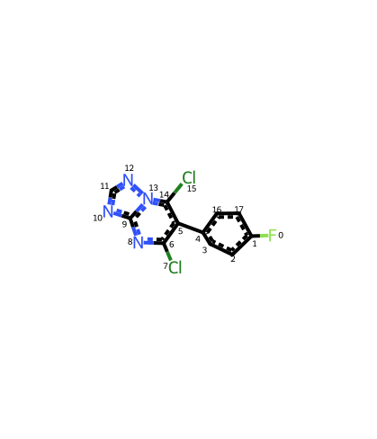 Fc1ccc(-c2c(Cl)nc3ncnn3c2Cl)cc1